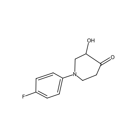 O=C1CCN(c2ccc(F)cc2)CC1O